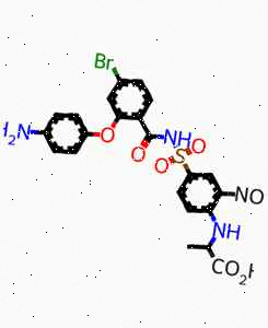 CC(Nc1ccc(S(=O)(=O)NC(=O)c2ccc(Br)cc2Oc2ccc(N)cc2)cc1[N+](=O)[O-])C(=O)O